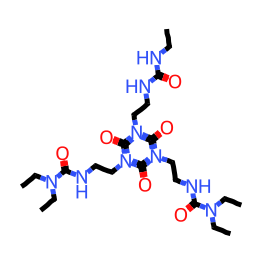 CCNC(=O)NCCn1c(=O)n(CCNC(=O)N(CC)CC)c(=O)n(CCNC(=O)N(CC)CC)c1=O